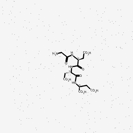 NCC(=O)N[C@@H](CC(=O)O)C(=O)N[C@@H](CC(=O)O)C(=O)N[C@@H](CC(=O)O)C(=O)O